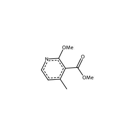 COC(=O)c1c(C)ccnc1OC